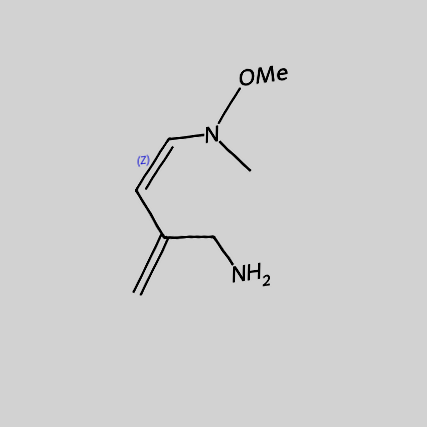 C=C(/C=C\N(C)OC)CN